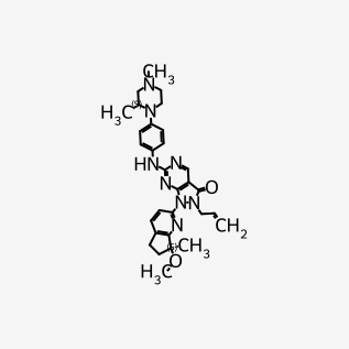 C=CCn1c(=O)c2cnc(Nc3ccc(N4CCN(C)C[C@@H]4C)cc3)nc2n1-c1ccc2c(n1)[C@@](C)(OC)CC2